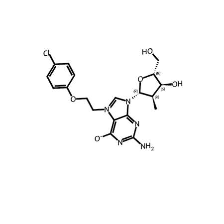 C[C@@H]1[C@H](O)[C@@H](CO)O[C@H]1n1c[n+](CCOc2ccc(Cl)cc2)c2c([O-])nc(N)nc21